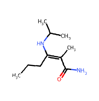 CCCC(NC(C)C)=C(C)C(N)=O